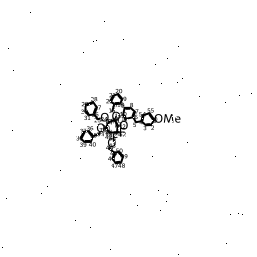 COc1ccc(Cc2ccccc2O[C@H]2[C@H](OCc3ccccc3)[C@@H](OCc3ccccc3)[C@H](OCc3ccccc3)[C@@H](COCc3ccccc3)C2(F)F)cc1